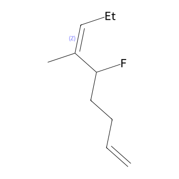 C=CCCC(F)/C(C)=C\CC